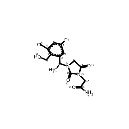 C[C@@H](c1cc(F)cc(Cl)c1CO)N1CC(=O)N(CC(N)=O)C1=O